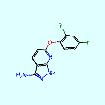 Nc1n[nH]c2nc(Oc3ccc(F)cc3F)ccc12